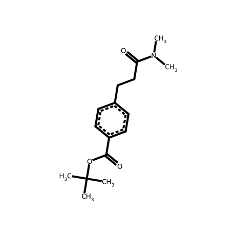 CN(C)C(=O)CCc1ccc(C(=O)OC(C)(C)C)cc1